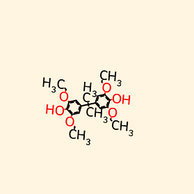 CCOc1cc(C(C)(C)c2cc(OCC)c(O)c(OCC)c2)cc(OCC)c1O